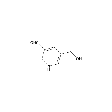 O=CC1=CC(CO)=CNC1